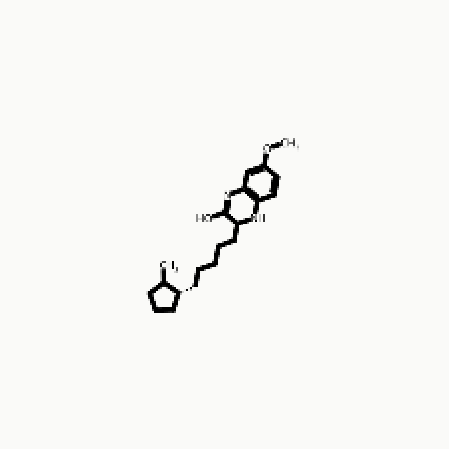 COc1ccc2c(c1)N=C(O)C(CCCCC[C@@H]1CCCC1C)N2